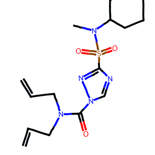 C=CCN(CC=C)C(=O)n1cnc(S(=O)(=O)N(C)C2CCCCC2)n1